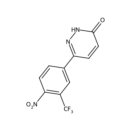 O=c1ccc(-c2ccc([N+](=O)[O-])c(C(F)(F)F)c2)n[nH]1